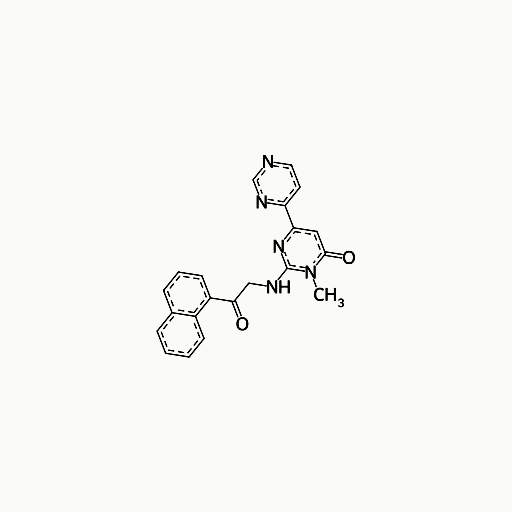 Cn1c(NCC(=O)c2cccc3ccccc23)nc(-c2ccncn2)cc1=O